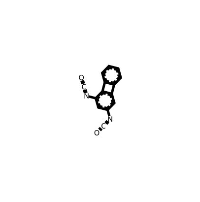 O=C=Nc1cc(N=C=O)c2c(c1)-c1ccccc1-2